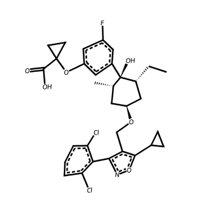 CC[C@@H]1C[C@@H](OCc2c(-c3c(Cl)cccc3Cl)noc2C2CC2)C[C@H](C)[C@]1(O)c1cc(F)cc(OC2(C(=O)O)CC2)c1